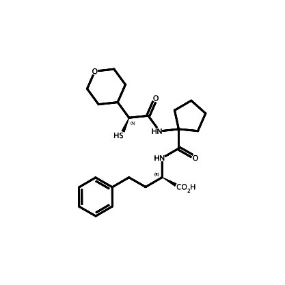 O=C(NC1(C(=O)N[C@H](CCc2ccccc2)C(=O)O)CCCC1)[C@@H](S)C1CCOCC1